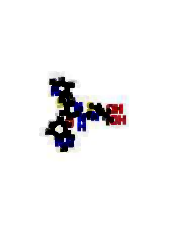 OCC(O)c1csc(Nc2ncc(Sc3ccccn3)cc2OC2CCCc3ncncc32)n1